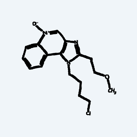 COCCc1nc2c[n+]([O-])c3ccccc3c2n1CCCCCl